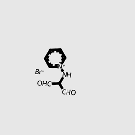 O=CC(C=O)N[n+]1ccccc1.[Br-]